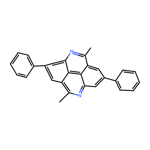 Cc1nc2cc(-c3ccccc3)cc3c(C)nc4cc(-c5ccccc5)cc1c4c23